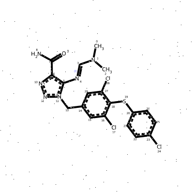 CN(C)/C=N/c1c(C(N)=O)nnn1Cc1cc(Cl)c(Sc2ccc(Cl)cc2)c(Cl)c1